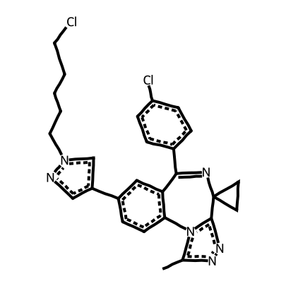 Cc1nnc2n1-c1ccc(-c3cnn(CCCCCCl)c3)cc1C(c1ccc(Cl)cc1)=NC21CC1